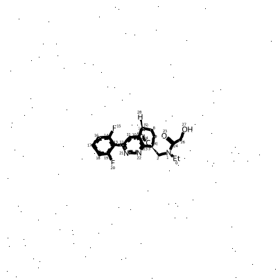 CCN(C[C@@]12CCC[C@@H](CC1)c1cc(-c3c(F)cccc3F)nnc12)C(=O)CO